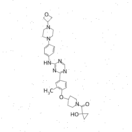 Cc1cc(-c2ncnc(Nc3ccc(N4CCN(C5COC5)CC4)cc3)n2)ccc1OC1CCN(C(=O)C2(O)CC2)CC1